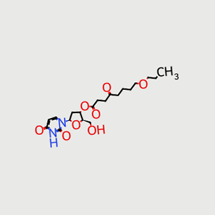 CCCOCCCCC(=O)CCC(=O)O[C@@H]1C[C@H](n2ccc(=O)[nH]c2=O)O[C@@H]1CO